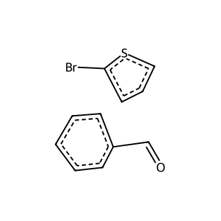 Brc1cccs1.O=Cc1ccccc1